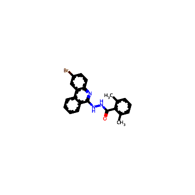 Cc1cccc(C)c1C(=O)NNc1nc2ccc(Br)cc2c2ccccc12